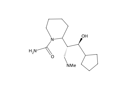 CNC[C@H](C1CCCCN1C(N)=O)[C@@H](O)C1CCCC1